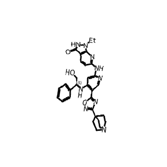 CCn1[nH]c(=O)c2ccc(Nc3cc(N[C@H](CO)c4ccccc4)c(-c4nc(C56CCN(CC5)CC6)no4)cn3)nc21